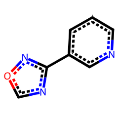 [c]1cncc(-c2ncon2)c1